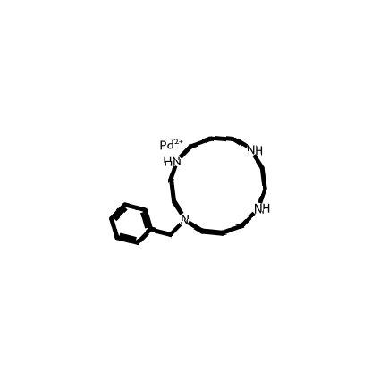 [Pd+2].c1ccc(CN2CCCNCCNCCCNCC2)cc1